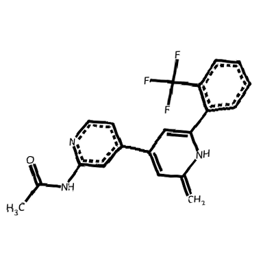 C=C1C=C(c2ccnc(NC(C)=O)c2)C=C(c2ccccc2C(F)(F)F)N1